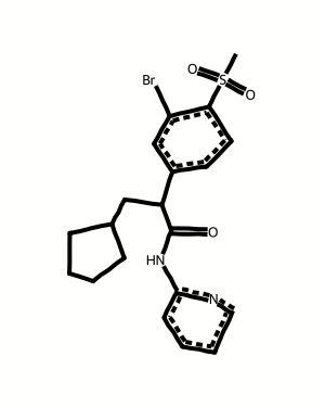 CS(=O)(=O)c1ccc(C(CC2CCCC2)C(=O)Nc2ccccn2)cc1Br